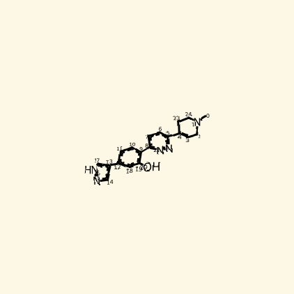 CN1CC=C(c2ccc(-c3ccc(-c4cn[nH]c4)cc3O)nn2)CC1